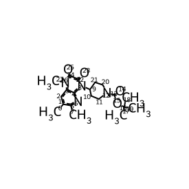 Cc1cc2c(nc1C)n(C1CCN(C(=O)OC(C)(C)C)CC1)c(=O)c(=O)n2C